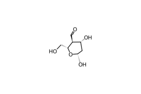 O=C[C@H]1[C@H](O)C[C@H](O)O[C@@H]1CO